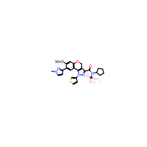 BC(B)(B)N(C(=O)c1nn(-c2ccsc2)c2c1COc1cc(OC)c(-c3ccn(C)n3)cc1-2)C1CCCC1